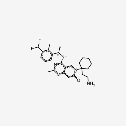 Cc1nc(N[C@H](C)c2cccc(C(F)F)c2C)c2cn(C3(CCN)CCCCC3)c(=O)cc2n1